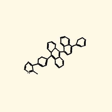 Cc1ncccc1C1=CC=C(C2=c3ccccc3=C(c3ccc(C4=CC=CCC4)c4ccccc34)C3C=CC=CC23)CC1